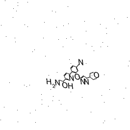 Cn1nc(C2CCOCC2)cc1Oc1cc(C#N)ccc1-c1ccc(C(O)CN)cn1